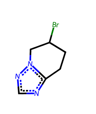 BrC1CCc2ncnn2C1